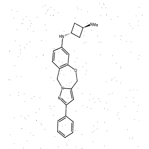 CN[C@H]1C[C@H](Nc2ccc3c(c2)OCc2cc(-c4ccccc4)nn2C3)C1